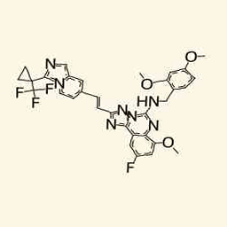 COc1ccc(CNc2nc3c(OC)cc(F)cc3c3nc(C=Cc4ccn5c(C6(C(F)(F)F)CC6)ncc5c4)nn23)c(OC)c1